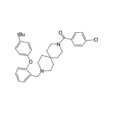 CC(C)(C)c1ccc(Oc2ccccc2CN2CCC3(CC2)CCN(C(=O)c2ccc(Cl)cc2)CC3)cc1